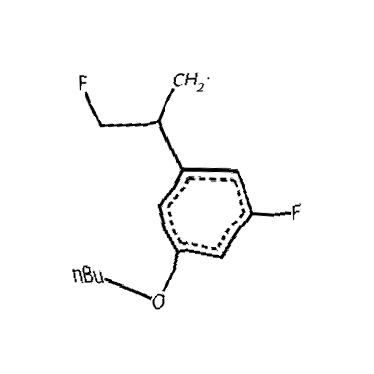 [CH2]C(CF)c1cc(F)cc(OCCCC)c1